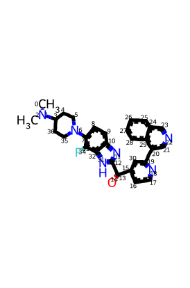 CN(C)C1CCN(c2ccc3nc(C(=O)c4ccnc(-c5cncc6ccccc56)c4)[nH]c3c2F)CC1